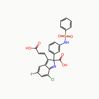 O=C(O)C=CC1=c2cc(F)cc(Cl)c2=NC1(C(=O)O)c1cccc(NS(=O)(=O)c2ccccc2)c1